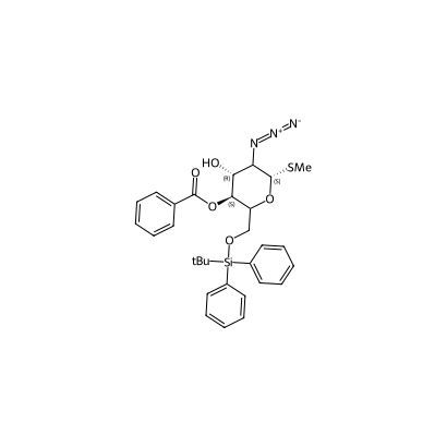 CS[C@@H]1OC(CO[Si](c2ccccc2)(c2ccccc2)C(C)(C)C)[C@@H](OC(=O)c2ccccc2)[C@H](O)C1N=[N+]=[N-]